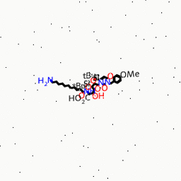 COc1ccc(Cn2c(=O)ccn([C@@H]3OC([C@H](O)[C@H](NC(=O)CCCCCCCCCCN)C(=O)O)[C@@H](O[Si](C)(C)C(C)(C)C)[C@H]3O[Si](C)(C)C(C)(C)C)c2=O)cc1